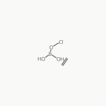 C=C.OB(O)OCl